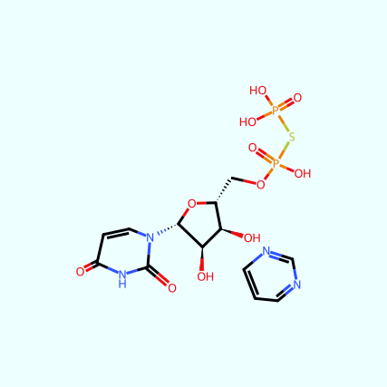 O=c1ccn([C@@H]2O[C@H](COP(=O)(O)SP(=O)(O)O)[C@@H](O)[C@H]2O)c(=O)[nH]1.c1cncnc1